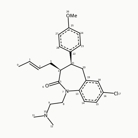 CC=CC[C@@H]1C(=O)N(CCN(C)C)c2ccc(Cl)cc2C[C@@H]1c1ccc(OC)cc1